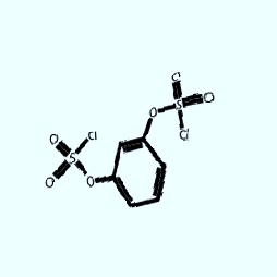 O=S(=O)(Cl)Oc1cccc(OS(=O)(=O)Cl)c1